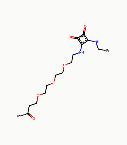 CC(C)CNc1c(NCCOCCOCCOCCC(=O)C(C)C)c(=O)c1=O